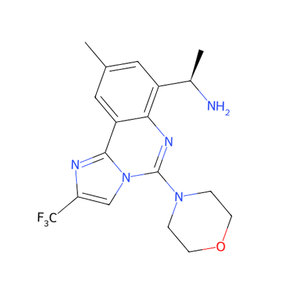 Cc1cc([C@@H](C)N)c2nc(N3CCOCC3)n3cc(C(F)(F)F)nc3c2c1